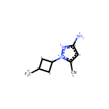 N#Cc1cc(N)nn1C1CC(C(F)(F)F)C1